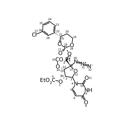 CCOC(=O)O[C@H]1C(n2ccc(=O)[nH]c2=O)O[C@@](COP2(=O)OCC[C@@H](c3cccc(Cl)c3)O2)(N=[N+]=[N-])[C@H]1OC(=O)OCC